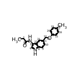 CCC(=O)Nc1c[nH]c2ccc(COc3ccc(C)cc3)cc12